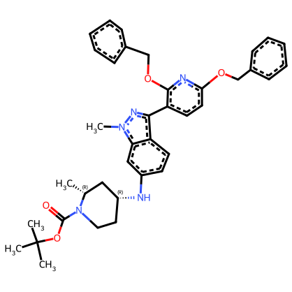 C[C@@H]1C[C@H](Nc2ccc3c(-c4ccc(OCc5ccccc5)nc4OCc4ccccc4)nn(C)c3c2)CCN1C(=O)OC(C)(C)C